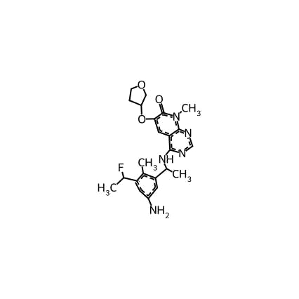 Cc1c(C(C)F)cc(N)cc1C(C)Nc1ncnc2c1cc(OC1CCOC1)c(=O)n2C